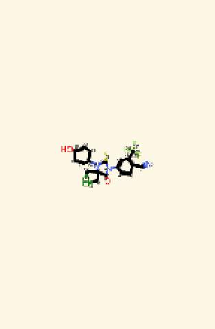 N#Cc1ccc(N2C(=O)C(CCl)(CCl)N(c3ccc(O)cc3)C2=S)cc1C(F)(F)F